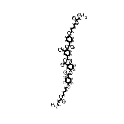 C=CC(=O)OCCCCOc1ccc(C(=O)Oc2ccc3nc(-c4ccc(OC(=O)c5ccc(OCCCCOC(=O)C=C)cc5)c(Cl)c4)oc(=O)c3c2)cc1